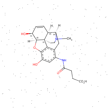 CN1CC[C@]23c4c5c(NC(=O)CCC(=O)O)cc(O)c4O[C@H]2[C@@H](O)C=C[C@H]3[C@H]1C5